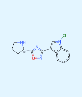 Cln1cc(-c2noc([C@@H]3CCCN3)n2)c2ccccc21